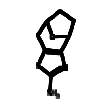 Nc1nc2c(s1)CC1CCC2O1